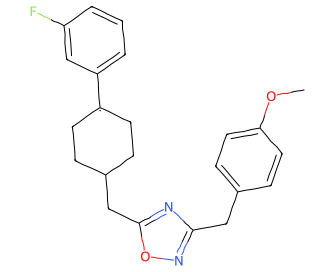 COc1ccc(Cc2noc(CC3CC[C](c4cccc(F)c4)CC3)n2)cc1